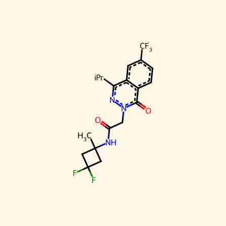 CC(C)c1nn(CC(=O)NC2(C)CC(F)(F)C2)c(=O)c2ccc(C(F)(F)F)cc12